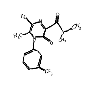 Cc1c(Br)nc(C(=O)N(C)C)c(=O)n1-c1cccc(C(F)(F)F)c1